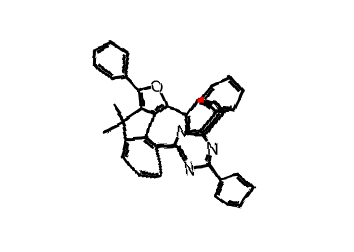 CC1(C)c2cccc(-c3nc(-c4ccccc4)nc(-c4ccccc4)n3)c2-c2c(-c3ccccc3)oc(-c3ccccc3)c21